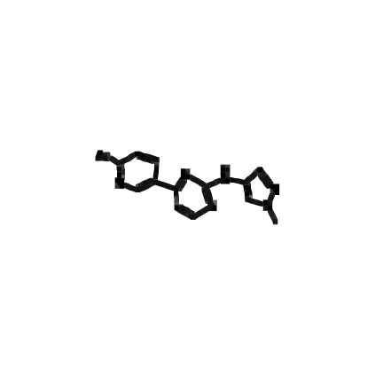 CC(=O)c1ccc(-c2ccnc(Nc3cnn(C)c3)n2)cn1